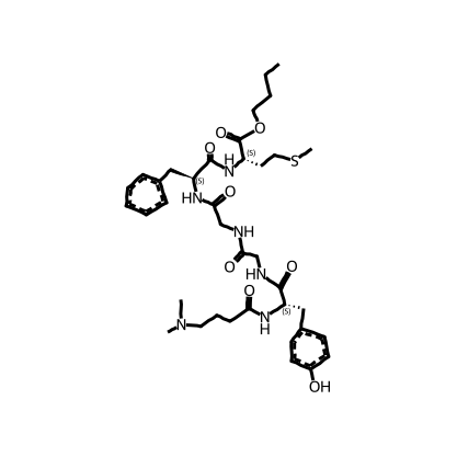 CCCCOC(=O)[C@H](CCSC)NC(=O)[C@H](Cc1ccccc1)NC(=O)CNC(=O)CNC(=O)[C@H](Cc1ccc(O)cc1)NC(=O)CCCN(C)C